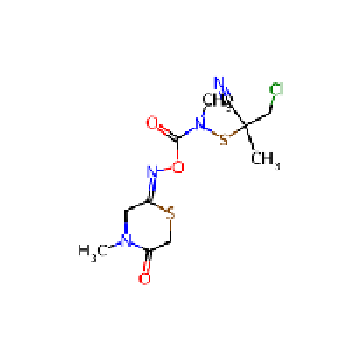 CN1CC(=NOC(=O)N(C)SC(C)(C#N)CCl)SCC1=O